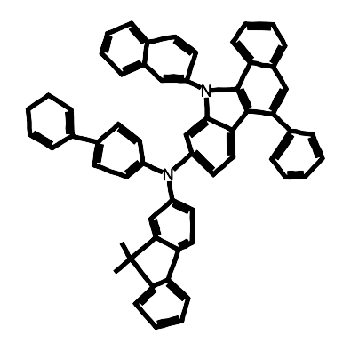 CC1(C)c2ccccc2-c2ccc(N(c3ccc(C4=CCCC=C4)cc3)c3ccc4c5c(-c6ccccc6)cc6ccccc6c5n(-c5ccc6ccccc6c5)c4c3)cc21